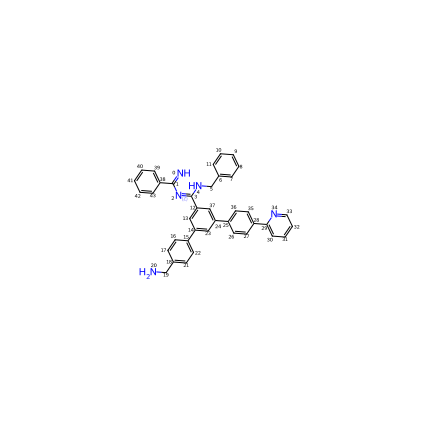 N=C(/N=C(\NCc1ccccc1)c1cc(-c2ccc(CN)cc2)cc(-c2ccc(-c3ccccn3)cc2)c1)c1ccccc1